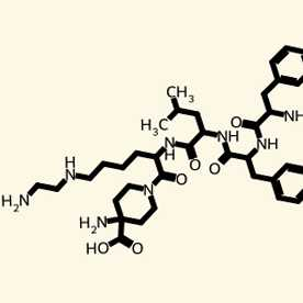 CC(C)CC(NC(=O)C(Cc1ccccc1)NC(=O)C(N)Cc1ccccc1)C(=O)NC(CCCCNCCN)C(=O)N1CCC(N)(C(=O)O)CC1